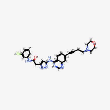 O=C(Cc1cc(Nc2ncnc3cc(C#CCCN4CCOCC4)ccc23)n[nH]1)Nc1cccc(F)c1